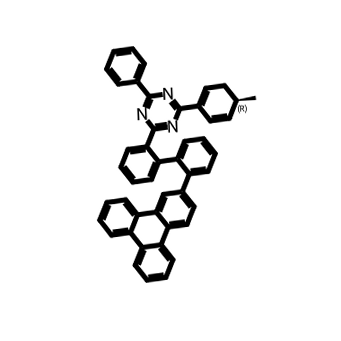 C[C@H]1C=CC(c2nc(-c3ccccc3)nc(-c3ccccc3-c3ccccc3-c3ccc4c5ccccc5c5ccccc5c4c3)n2)=CC1